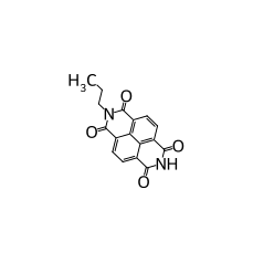 CCCN1C(=O)c2ccc3c4c(ccc(c24)C1=O)C(=O)NC3=O